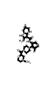 CN1CCOC(C(=O)N2CCN(c3c(F)cncc3NC(=O)C3C(N)NN4CC(F)CNC34)CC2)C1